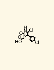 O=C(O)Cn1c(-c2ccc(Cl)cc2)c(Cl)[nH]c1=O